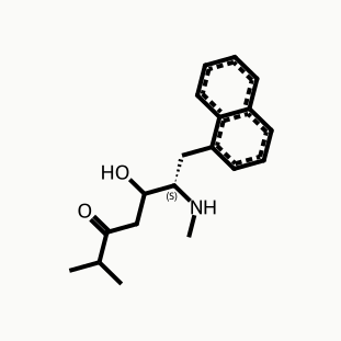 CN[C@@H](Cc1cccc2ccccc12)C(O)CC(=O)C(C)C